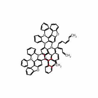 C=C\C=C/C=C\C(=C\C=C)C(=C(/C=C\C=C)c1cccc(-c2ccccc2)c1)\N1c2cc3c(cc2B2c4ccccc4N(c4ccccc4)c4c2c1cc1oc2ccccc2c41)B1c2ccccc2N(c2ccccc2)c2c1c(cc1oc4ccccc4c21)N3c1ccccc1